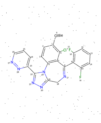 COc1ccc2c(c1Cl)C(c1c(F)cccc1F)=NCc1nnc(-c3cccnn3)n1-2